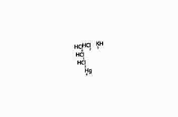 Cl.Cl.Cl.Cl.[Hg].[KH]